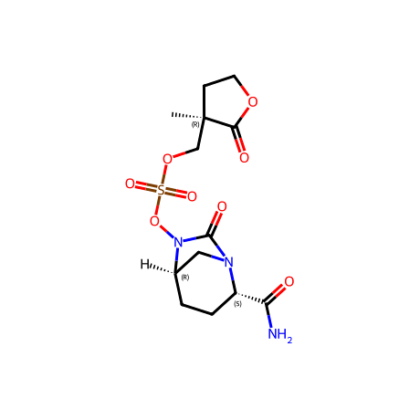 C[C@]1(COS(=O)(=O)ON2C(=O)N3C[C@H]2CC[C@H]3C(N)=O)CCOC1=O